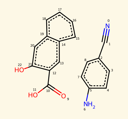 N#Cc1ccc(N)cc1.O=C(O)c1cc2ccccc2cc1O